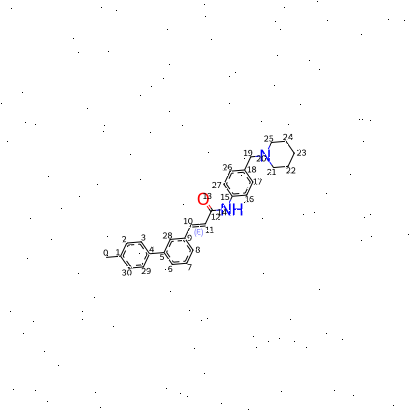 Cc1ccc(-c2cccc(/C=C/C(=O)Nc3ccc(CN4CCCCC4)cc3)c2)cc1